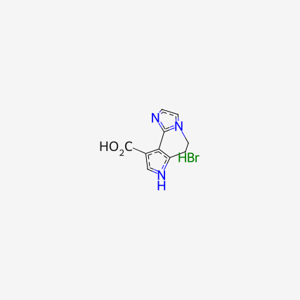 Br.O=C(O)c1c[nH]c2c1-c1nccn1CC2